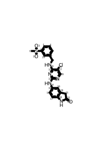 CS(=O)(=O)c1cccc(CNc2nc(Nc3ccc4c(c3)CC(=O)N4)ncc2Cl)c1